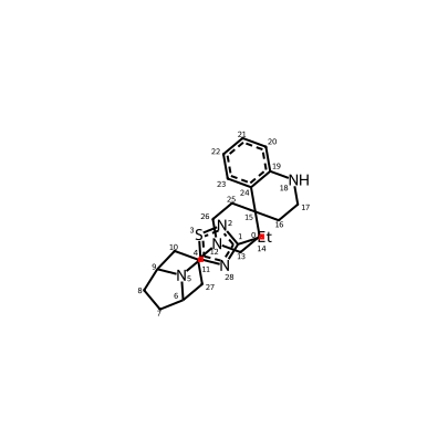 CCc1nsc(N2C3CCC2CC(N2CCC4(CCNc5ccccc54)CC2)C3)n1